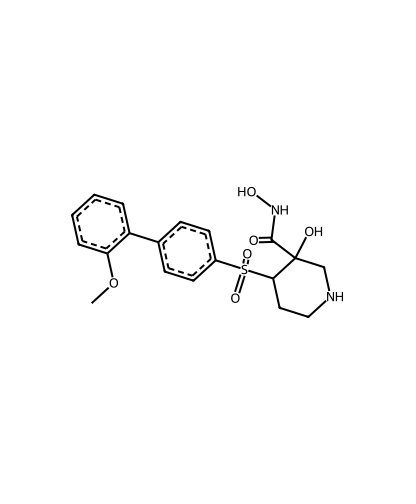 COc1ccccc1-c1ccc(S(=O)(=O)C2CCNCC2(O)C(=O)NO)cc1